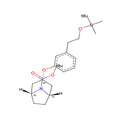 CC(C)(C)OC(=O)N1[C@@H]2CC[C@H]1C[C@@H](Oc1cccc(CCO[Si](C)(C)C(C)(C)C)c1)C2